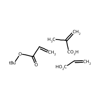 C=C(C)C(=O)O.C=CC(=O)O.C=CC(=O)OC(C)(C)C